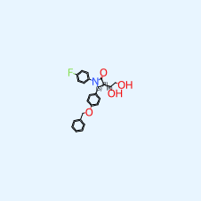 O=C1[C@@H]([C@@H](O)CO)[C@@H](c2ccc(OCc3ccccc3)cc2)N1c1ccc(F)cc1